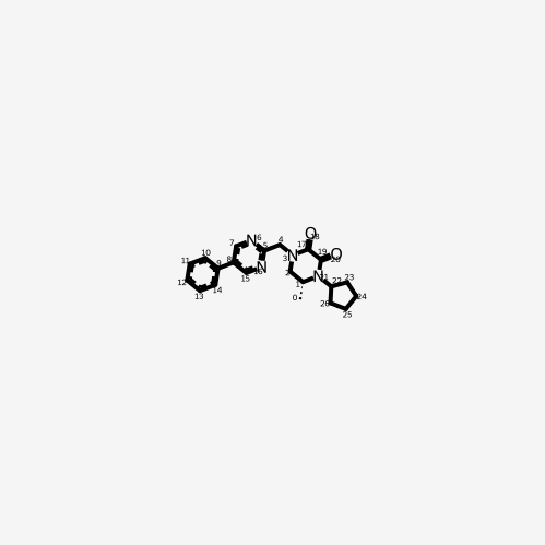 C[C@@H]1CN(Cc2ncc(-c3ccccc3)cn2)C(=O)C(=O)N1C1CCCC1